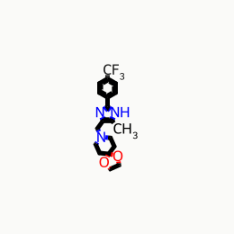 Cc1[nH]c(-c2ccc(C(F)(F)F)cc2)nc1CN1CCC2(CC1)OCCO2